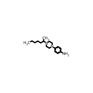 CCCCCC(C)N1CCN(c2ccc(N)cc2)CC1